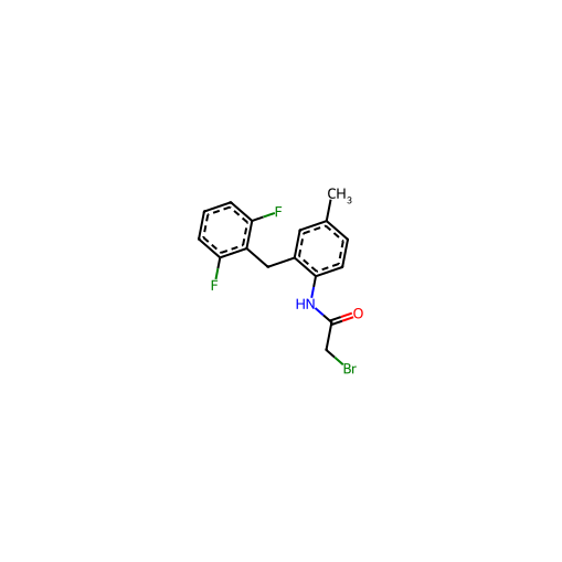 Cc1ccc(NC(=O)CBr)c(Cc2c(F)cccc2F)c1